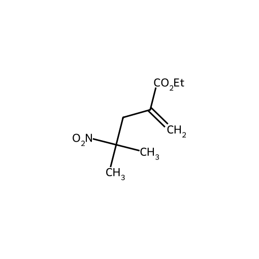 C=C(CC(C)(C)[N+](=O)[O-])C(=O)OCC